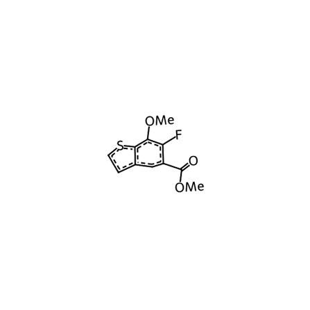 COC(=O)c1cc2ccsc2c(OC)c1F